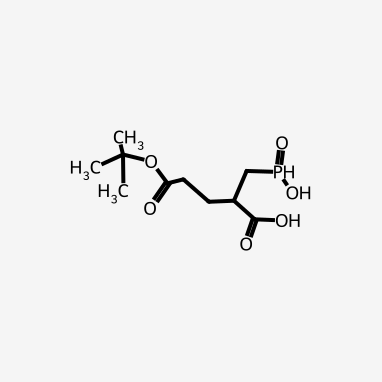 CC(C)(C)OC(=O)CCC(C[PH](=O)O)C(=O)O